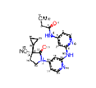 COCC(=O)Nc1ccnc(Nc2cc(N3CC[C@@](C#N)(C4CC4)C3=O)ccn2)c1